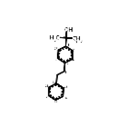 CC(C)(O)c1ccc(CCc2ccccc2)cc1